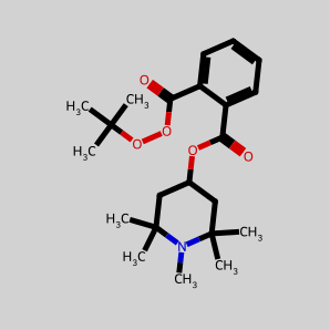 CN1C(C)(C)CC(OC(=O)c2ccccc2C(=O)OOC(C)(C)C)CC1(C)C